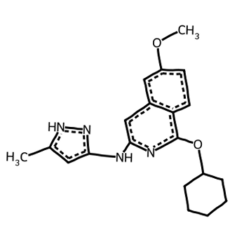 COc1ccc2c(OC3CCCCC3)nc(Nc3cc(C)[nH]n3)cc2c1